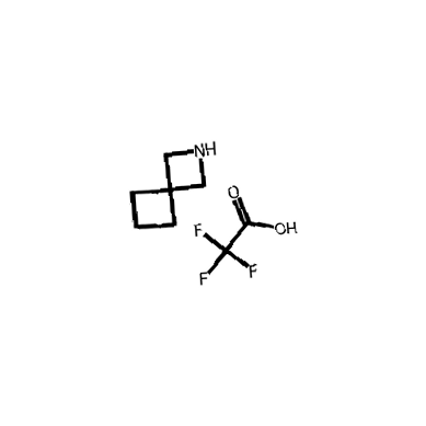 C1CC2(C1)CNC2.O=C(O)C(F)(F)F